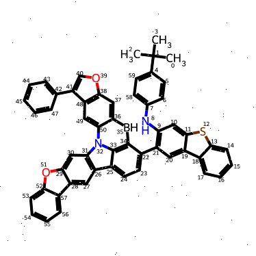 CC(C)(C)c1ccc(Nc2cc3sc4ccccc4c3cc2-c2ccc3c4cc5c(cc4n4c3c2Bc2cc3occ(-c6ccccc6)c3cc2-4)oc2ccccc25)cc1